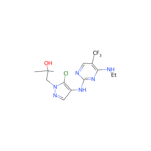 CCNc1nc(Nc2cnn(CC(C)(C)O)c2Cl)ncc1C(F)(F)F